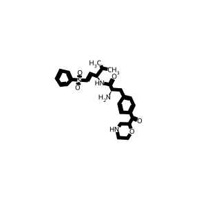 CC(C)[C@@H](C=CS(=O)(=O)c1ccccc1)NC(=O)[C@@H](N)Cc1ccc(C(=O)C2CNCCO2)cc1